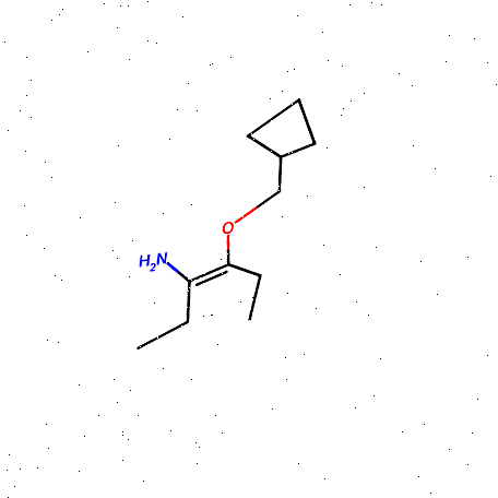 CC/C(N)=C(\CC)OCC1CCC1